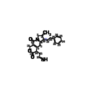 C=C1Cn2c(cc3c(c2=O)COC(=O)C3CC=N)/C1=C/Cc1ccccc1